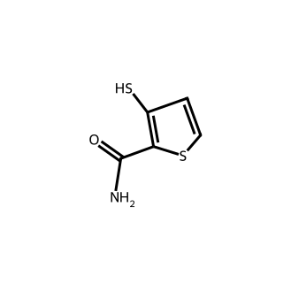 NC(=O)c1sccc1S